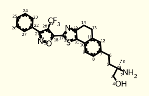 C[C@](N)(CO)CCc1ccc2c(c1)CCc1nc(-c3onc(-c4ccccc4)c3C(F)(F)F)sc1-2